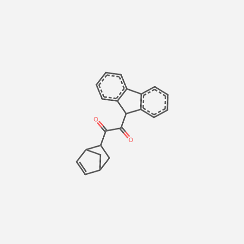 O=C(C(=O)C1CC2C=CC1C2)C1c2ccccc2-c2ccccc21